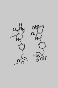 CCC(CC)(Cc1ccc(-c2cc3cn[nH]c(=O)c3c(OC)n2)cc1)P(=O)(O)O.CCOP(=O)(CCc1ccc(-c2cc3cn[nH]c(=O)c3c(OC)n2)cc1)OCC